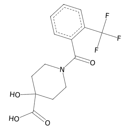 O=C(c1ccccc1C(F)(F)F)N1CCC(O)(C(=O)O)CC1